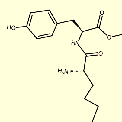 CCCC[C@H](N)C(=O)N[C@@H](Cc1ccc(O)cc1)C(=O)OC